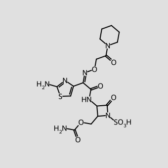 NC(=O)OCC1C(NC(=O)/C(=N\OCC(=O)N2CCCCC2)c2csc(N)n2)C(=O)N1S(=O)(=O)O